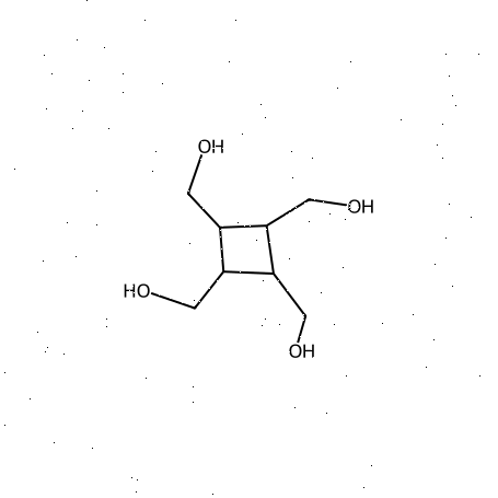 OCC1C(CO)C(CO)C1CO